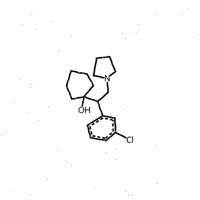 OC1(C(CN2CCCC2)c2cccc(Cl)c2)CCCCC1